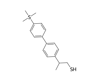 CC(CS)c1ccc(-c2ccc(S(C)(C)C)cc2)cc1